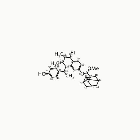 CCC(c1ccc(OC(OC)C23CC4CC(CC(C4)C2)C3)cc1)C(C)C(C)CC(C)c1ccc(O)cc1